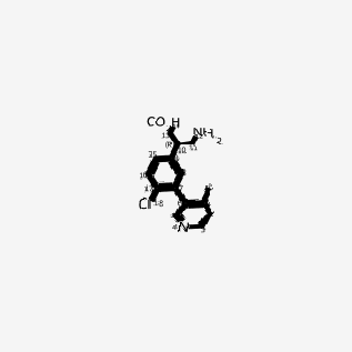 Cc1ccncc1-c1cc([C@H](CN)CC(=O)O)ccc1Cl